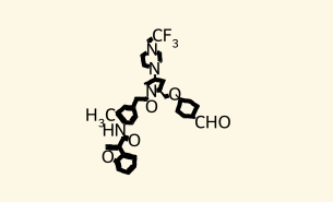 Cc1cc(CC(=O)N2C[C@@H](N3CCN(CC(F)(F)F)CC3)C[C@H]2CO[C@H]2CC[C@H](C=O)CC2)ccc1NC(=O)c1coc2ccccc12